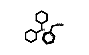 C1CCC(NC2CCCCC2)CC1.CNCc1ccccc1